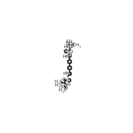 COC[C@H](NC(=O)OC)C(=O)N1CCC[C@H]1c1ncc(-c2ccc(-c3ccc(-c4ccc(C[C@@H]5CCCN5C(=O)C(NC(=O)OC)C(C)C)[nH]4)cc3)cc2)[nH]1